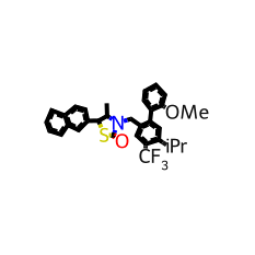 COc1ccccc1-c1cc(C(C)C)c(C(F)(F)F)cc1CN1C(=O)SC(c2ccc3ccccc3c2)C1C